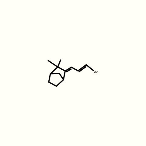 CC(=O)C=CC=C1C2CCC(C2)C1(C)C